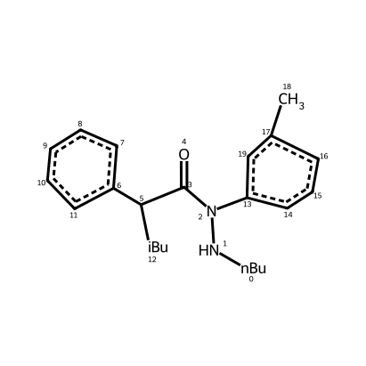 CCCCNN(C(=O)C(c1ccccc1)C(C)CC)c1cccc(C)c1